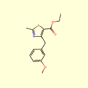 CCOC(=O)c1sc(C)nc1Cc1cccc(OC)c1